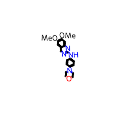 COc1cc2cnc(Nc3ccc(N4CCOCC4)cc3)nc2cc1OC